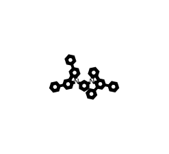 c1ccc(-c2ccc3c(c2)c2cc(-c4ccccc4)ccc2n3-c2cccc(-n3c4ccccc4c4cc(-c5ccccc5)cc(-c5ccccc5)c43)c2)cc1